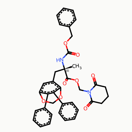 C[C@@](Cc1cc2c(-c3ccccc3)c(-c3ccccc3)c1OCO2)(NC(=O)OCc1ccccc1)C(=O)OCN1C(=O)CCCC1=O